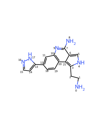 NCCc1[nH]cc2c(N)nc3cc(-c4ccn[nH]4)ccc3c12